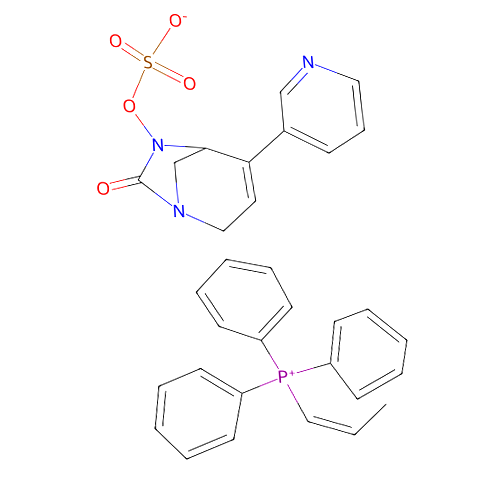 C/C=C\[P+](c1ccccc1)(c1ccccc1)c1ccccc1.O=C1N2CC=C(c3cccnc3)C(C2)N1OS(=O)(=O)[O-]